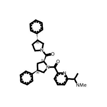 CNC(C)c1cccc(C(=O)N2C[C@@H](c3ccccc3)C[C@H]2C(=O)N2CC[C@H](c3ccccc3)C2)n1